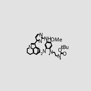 COc1cc(N(C)CCN(C)C(=O)OC(C)(C)C)c(N)cc1Nc1nccc(-c2cn3c4c(cccc24)CCC3)n1